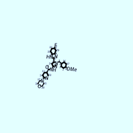 COc1ccc(Cn2nc(NC(=O)c3ccc(N4CCOCC4)nc3)cc2-c2nc3cc(F)ccc3[nH]2)cc1